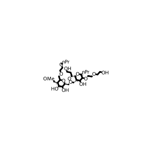 CCCOCCOCC1O[C@@H](COC[C@H]2C(O)C(OCCOCCO)[C@@H](CCC)O[C@H]2C(=O)CCO)C(O)[C@H](O)[C@H]1COC